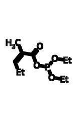 CCC=C(C)C(=O)OP(OCC)OCC